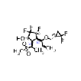 C=C/C(OC[C@@H]1CC1(F)F)=C1\C(=C(/C)S(C)(=O)=O)[C@H](O)C(F)(F)[C@@H]1F